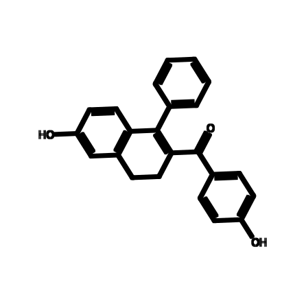 O=C(C1=C(c2ccccc2)c2ccc(O)cc2CC1)c1ccc(O)cc1